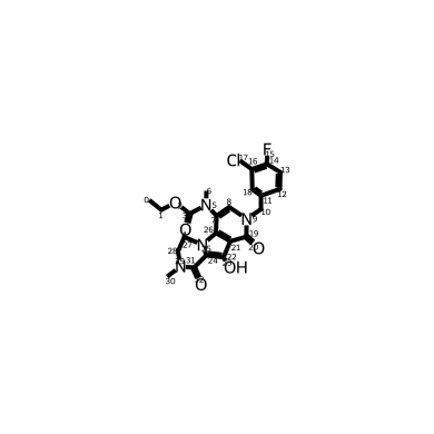 CCOC(=O)N(C)c1cn(Cc2ccc(F)c(Cl)c2)c(=O)c2c(O)c3n(c12)CCN(C)C3=O